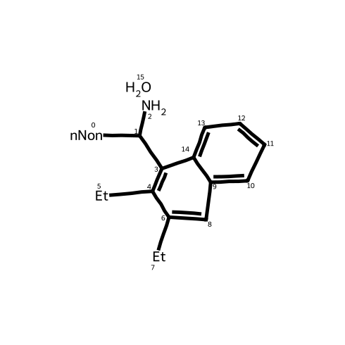 CCCCCCCCCC(N)c1c(CC)c(CC)cc2ccccc12.O